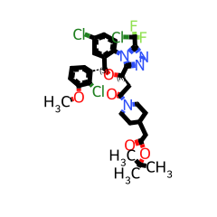 COc1cccc([C@H]2O[C@H](CC(=O)N3CCC(CC(=O)OC(C)(C)C)CC3)c3nnc(C(F)(F)Cl)n3-c3ccc(Cl)cc32)c1Cl